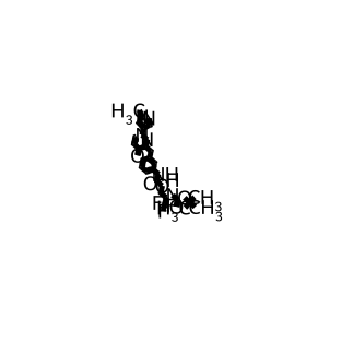 Cn1cc(-n2ccc(=O)c(Cc3cccc(NC(=O)OCC(NC(=O)OC(C)(C)C)C(F)(F)F)c3)n2)cn1